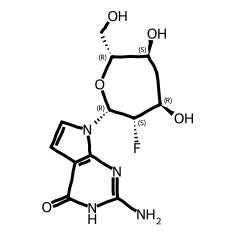 Nc1nc2c(ccn2[C@@H]2O[C@H](CO)[C@@H](O)C[C@@H](O)[C@@H]2F)c(=O)[nH]1